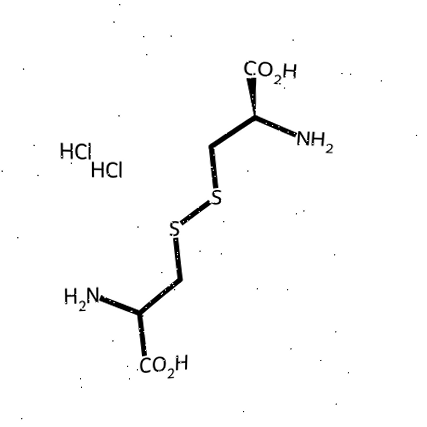 Cl.Cl.NC(CSSC[C@H](N)C(=O)O)C(=O)O